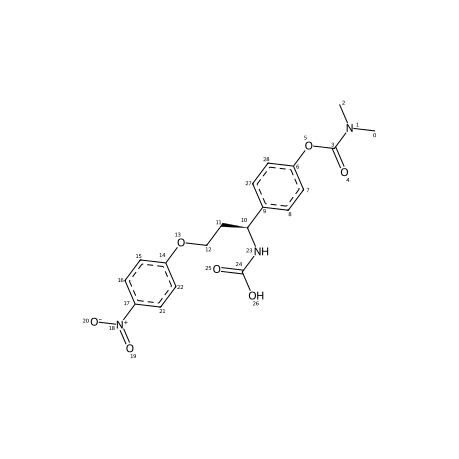 CN(C)C(=O)Oc1ccc([C@H](CCOc2ccc([N+](=O)[O-])cc2)NC(=O)O)cc1